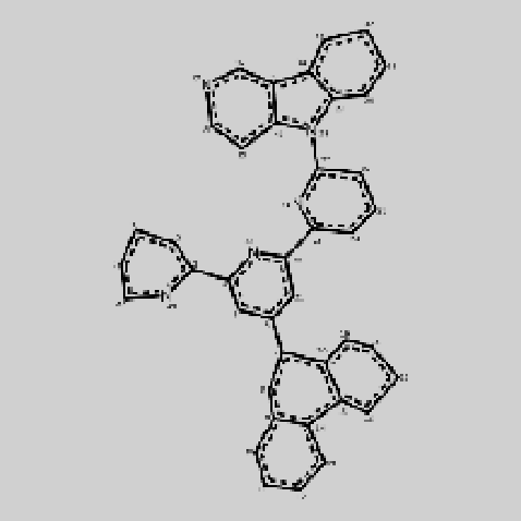 c1ccc(-c2cc(-c3cc4ccccc4c4ccccc34)cc(-c3cccc(-n4c5ccccc5c5cnccc54)n3)n2)nc1